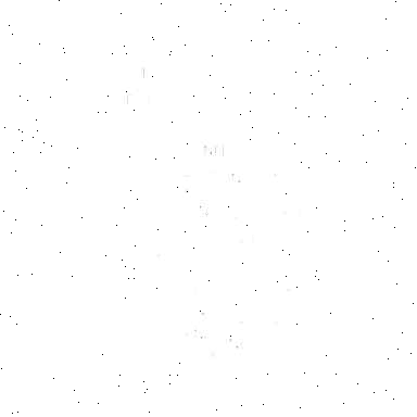 CCN(C(=O)NC(CCC(F)(F)F)C(F)(F)F)C(c1cc(-c2cc(OC)c3[nH]cnc3c2)c(OC)cn1)C(F)(F)F